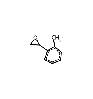 [CH2]c1ccccc1C1CO1